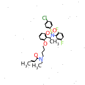 CC=CC(=O)N(CC)CCCCOc1ccccc1C(C)N(c1cc(F)ccc1F)S(=O)(=O)c1ccc(Cl)cc1